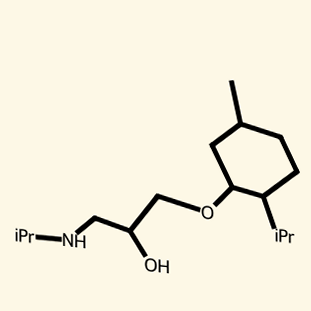 CC1CCC(C(C)C)C(OCC(O)CNC(C)C)C1